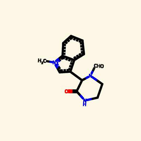 Cn1cc(C2C(=O)NCCN2C=O)c2ccccc21